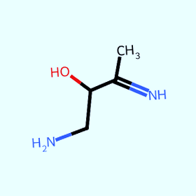 CC(=N)C(O)CN